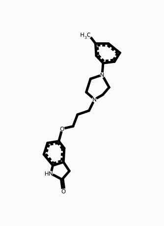 Cc1cccc(N2CCN(CCCOc3ccc4c(c3)CC(=O)N4)CC2)c1